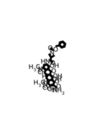 CN(C)c1cc(NC(=O)C2CN(C(=O)OCc3ccccc3)C2)c(O)c2c1C[C@H]1C[C@H]3[C@H](N(C)C)C(O)=C(C(N)=O)C(=O)[C@@]3(O)C(O)=C1C2=O